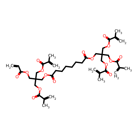 C=CC(=O)OCC(COC(=O)CCCCCCC(=O)OCC(COC(=O)C(=C)C)(COC(=O)C(=C)C)COC(=O)C(=C)C)(COC(=O)C(=C)C)COC(=O)C(=C)C